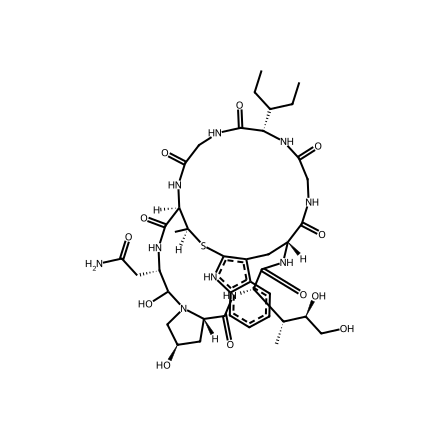 CCC(CC)[C@@H]1NC(=O)CNC(=O)[C@H]2Cc3c([nH]c4ccccc34)S[C@@H](C)[C@H](NC(=O)CNC1=O)C(=O)N[C@@H](CC(N)=O)C(O)N1C[C@H](O)C[C@H]1C(=O)N[C@@H]([C@@H](C)[C@@H](O)CO)C(=O)N2